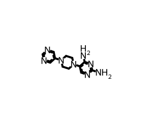 Nc1ncc(N2CCN(c3cncnc3)CC2)c(N)n1